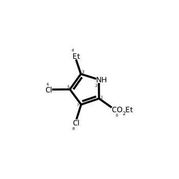 CCOC(=O)c1[nH]c(CC)c(Cl)c1Cl